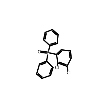 O=P(c1ccccc1)(c1ccccc1)c1cccc(Cl)c1Cl